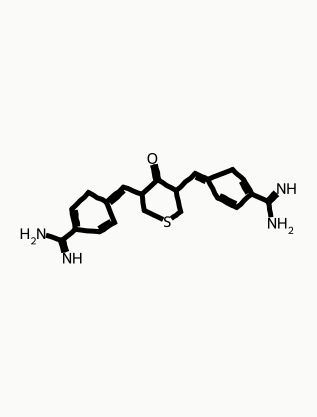 N=C(N)C1=CCC(=CC2CSCC(C=C3C=CC(C(=N)N)=CC3)C2=O)C=C1